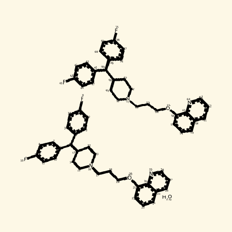 Fc1ccc(C(c2ccc(F)cc2)C2CCN(CCCOc3cccc4cccnc34)CC2)cc1.Fc1ccc(C(c2ccc(F)cc2)C2CCN(CCCOc3cccc4cccnc34)CC2)cc1.O